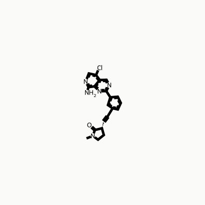 CN1CC[C@@H](C#Cc2cccc(-c3ncc4c(Cl)cnc(N)c4n3)c2)C1=O